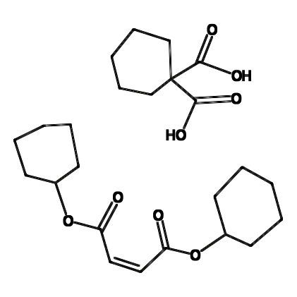 O=C(/C=C\C(=O)OC1CCCCC1)OC1CCCCC1.O=C(O)C1(C(=O)O)CCCCC1